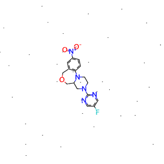 O=[N+]([O-])c1ccc2c(c1)COCC1CN(c3ncc(F)cn3)CCN21